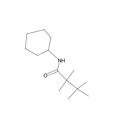 CC(C)(C)C(C)(C)C(=O)NC1CCCCC1